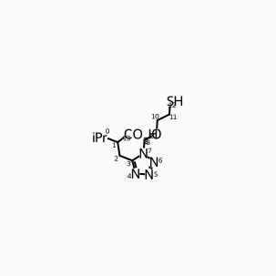 CC(C)C(Cc1nnnn1COCCS)C(=O)O